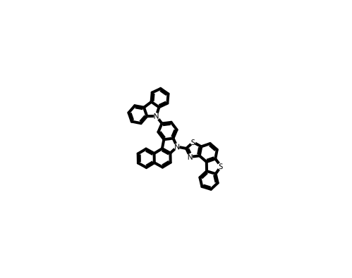 c1ccc2c(c1)ccc1c2c2cc(-n3c4ccccc4c4ccccc43)ccc2n1-c1nc2c(ccc3sc4ccccc4c32)s1